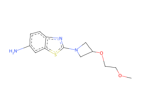 COCCOC1CN(c2nc3ccc(N)cc3s2)C1